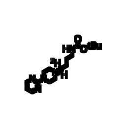 [2H]C([2H])(CCCNC(=O)OC(C)(C)C)N1CCN(c2ncccn2)CC1